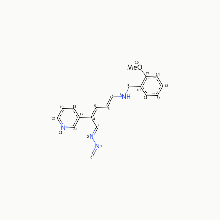 C=N/N=C/C(=C\C=C\NCc1ccccc1OC)c1cccnc1